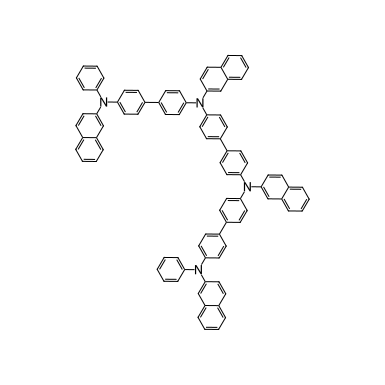 c1ccc(N(c2ccc(-c3ccc(N(c4ccc(-c5ccc(N(c6ccc(-c7ccc(N(c8ccccc8)c8ccc9ccccc9c8)cc7)cc6)c6ccc7ccccc7c6)cc5)cc4)c4ccc5ccccc5c4)cc3)cc2)c2ccc3ccccc3c2)cc1